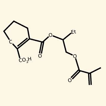 C=C(C)C(=O)OCC(CC)OC(=O)C1=C(C(=O)O)CCCC1